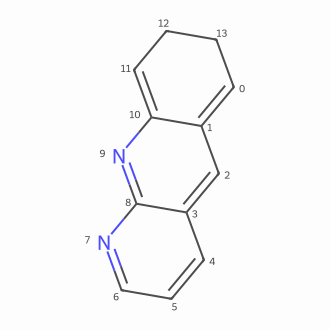 C1=c2cc3cccnc3nc2=CCC1